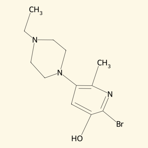 CCN1CCN(c2cc(O)c(Br)nc2C)CC1